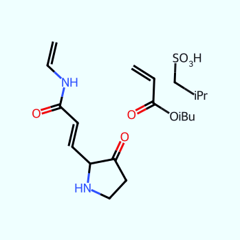 C=CC(=O)OCC(C)C.C=CNC(=O)C=CC1NCCC1=O.CC(C)CS(=O)(=O)O